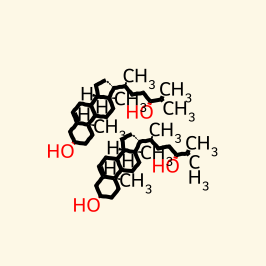 CC(C)C(O)CC[C@@H](C)[C@H]1CC[C@H]2[C@@H]3CC=C4CC(O)CC[C@]4(C)[C@H]3CC[C@]12C.CC(C)C(O)CC[C@@H](C)[C@H]1CC[C@H]2[C@@H]3CC=C4C[C@@H](O)CC[C@]4(C)[C@H]3CC[C@]12C